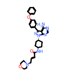 Nc1ncnc2c1c(-c1ccc(Oc3ccccc3)cc1)nn2[C@H]1CC[C@H](NC(=O)/C=C/CN2CCOCC2)CC1